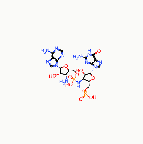 Nc1nc2c(ncn2[C@@H]2O[C@H](CO[PH](=O)O)[C@@H](NP(=O)(O)OC[C@H]3O[C@@H](n4cnc5c(N)ncnc54)[C@H](O)[C@@H]3N)[C@H]2O)c(=O)[nH]1